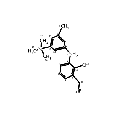 Cc1cc([SiH2]c2cccc(CC(C)C)c2Cl)cc([Si](C)(C)C)c1